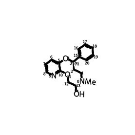 CNCC[C@@H](Oc1cccnc1OCCO)c1ccccc1